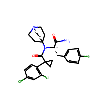 NC(=O)[C@H](Cc1ccc(Br)cc1)N(C(=O)C1(c2ccc(Cl)cc2Cl)CC1)C12CCN(CC1)CC2